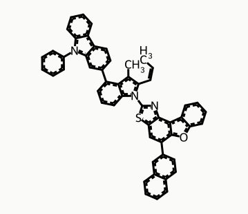 C/C=C\c1c(C)c2c(-c3ccc4c5ccccc5n(-c5ccccc5)c4c3)cccc2n1-c1nc2c(cc(-c3ccc4ccccc4c3)c3oc4ccccc4c32)s1